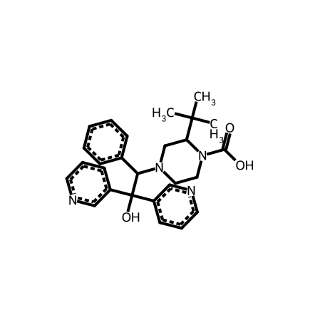 CC(C)(C)C1CN(C(c2ccccc2)C(O)(c2cccnc2)c2cccnc2)CCN1C(=O)O